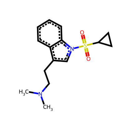 CN(C)CCc1cn(S(=O)(=O)C2CC2)c2ccccc12